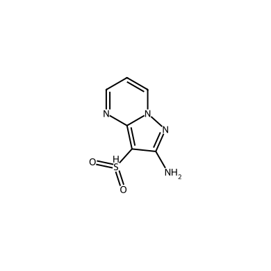 Nc1nn2cccnc2c1[SH](=O)=O